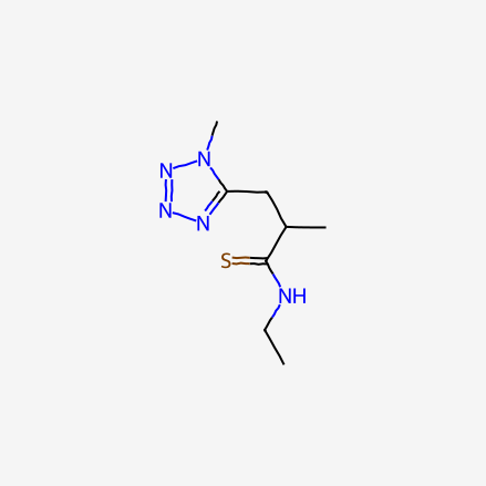 CCNC(=S)C(C)Cc1nnnn1C